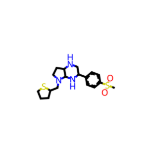 CS(=O)(=O)c1ccc(C2CNC3CCN(CC4CCCS4)C3N2)cc1